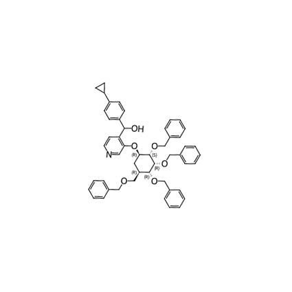 OC(c1ccc(C2CC2)cc1)c1ccncc1O[C@@H]1C[C@H](COCc2ccccc2)[C@@H](OCc2ccccc2)[C@@H](OCc2ccccc2)[C@H]1OCc1ccccc1